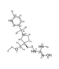 CCOC(C)(C)[C@@]1(CCN/C(=N/O)NC)CCN(C(C)(C)c2ccc(C)nc2)C1